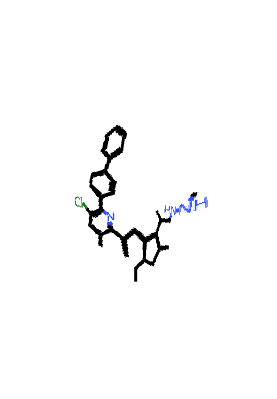 C=C(CC1C(CC)CC(C)C1C(C)CNNC)c1nc(-c2ccc(-c3ccccc3)cc2)c(Cl)cc1C